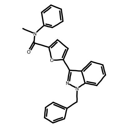 CN(C(=O)c1ccc(-c2nn(Cc3ccccc3)c3ccccc23)o1)c1ccccc1